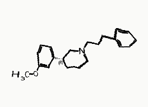 COc1cccc([C@H]2CCCN(CCCc3ccccc3)C2)c1